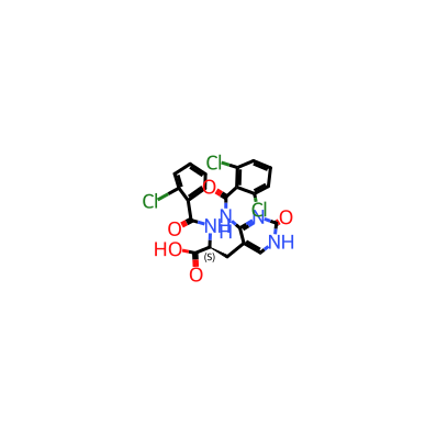 O=C(N[C@@H](Cc1c[nH]c(=O)nc1NC(=O)c1c(Cl)cccc1Cl)C(=O)O)c1ccccc1Cl